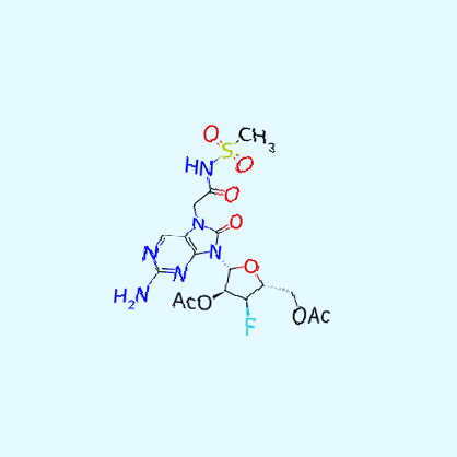 CC(=O)OC[C@H]1O[C@@H](n2c(=O)n(CC(=O)NS(C)(=O)=O)c3cnc(N)nc32)[C@H](OC(C)=O)[C@@H]1F